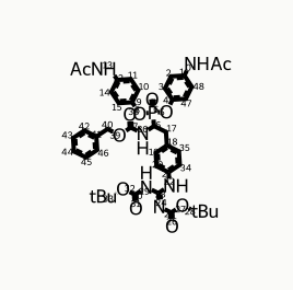 CC(=O)Nc1ccc(OP(=O)(Oc2ccc(NC(C)=O)cc2)C(Cc2ccc(NC(=NC(=O)OC(C)(C)C)NC(=O)OC(C)(C)C)cc2)NC(=O)OCc2ccccc2)cc1